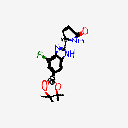 CC1(C)OB(c2cc(F)c3nc([C@H]4CCC(=O)N4)[nH]c3c2)OC1(C)C